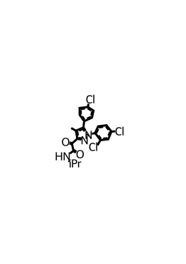 Cc1c(C(=O)C(=O)NC(C)C)nn(-c2ccc(Cl)cc2Cl)c1-c1ccc(Cl)cc1